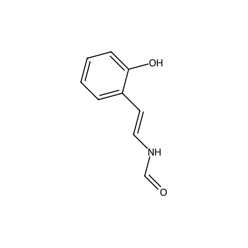 O=CN/C=C/c1ccccc1O